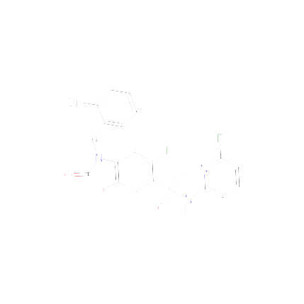 C[C@H](c1ccccc1Br)n1c(=O)oc2cc(S(=O)(=O)Nc3cccc(F)n3)c(F)cc21